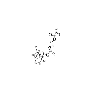 C=C(C)C(=O)OCCOC(C)OCC12CC3CC(CC(C)(C3)C1)C2